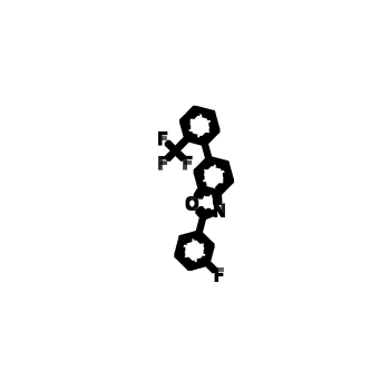 Fc1cccc(-c2nc3ccc(-c4ccccc4C(F)(F)F)cc3o2)c1